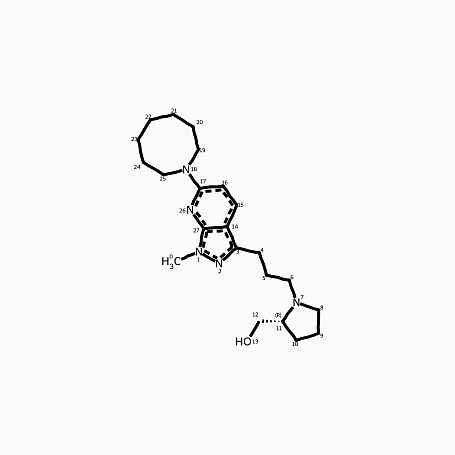 Cn1nc(CCCN2CCC[C@@H]2CO)c2ccc(N3CCCCCCC3)nc21